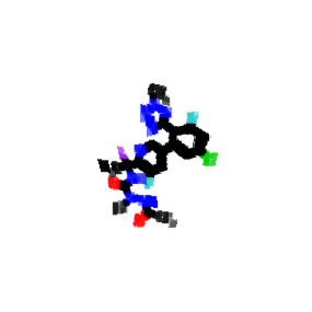 CCN(NC(=O)C(F)(F)F)C(=O)NC(C)(I)c1ncc(-c2cc(Cl)cc(F)c2-c2nnn(C)n2)cc1F